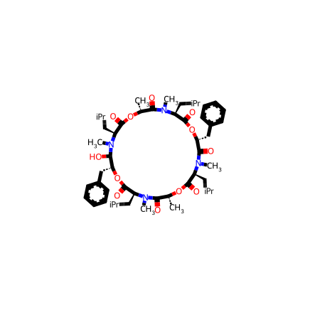 CC(C)C[C@H]1C(=O)O[C@H](Cc2ccccc2)C(O)N(C)[C@@H](CC(C)C)C(=O)O[C@H](C)C(=O)N(C)[C@@H](CC(C)C)C(=O)O[C@H](Cc2ccccc2)C(=O)N(C)[C@@H](CC(C)C)C(=O)O[C@H](C)C(=O)N1C